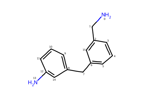 NCc1cccc(Cc2cc[c]c(N)c2)c1